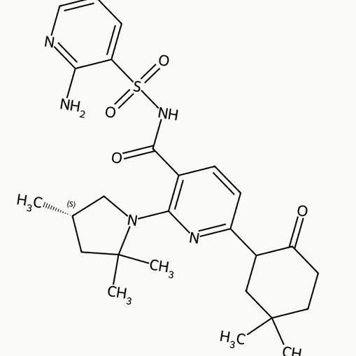 C[C@@H]1CN(c2nc(C3CC(C)(C)CCC3=O)ccc2C(=O)NS(=O)(=O)c2cccnc2N)C(C)(C)C1